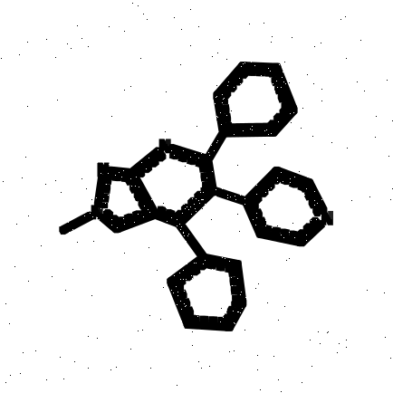 Cn1cc2c(-c3ccccc3)c(-c3ccncc3)c(-c3ccccc3)nc2n1